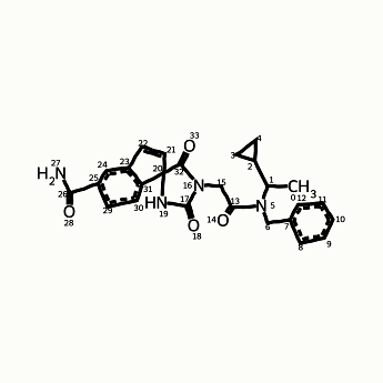 CC(C1CC1)N(Cc1ccccc1)C(=O)CN1C(=O)NC2(C=Cc3cc(C(N)=O)ccc32)C1=O